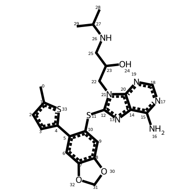 Cc1ccc(-c2cc3c(cc2Sc2nc4c(N)ncnc4n2CC(O)CNC(C)C)OCO3)s1